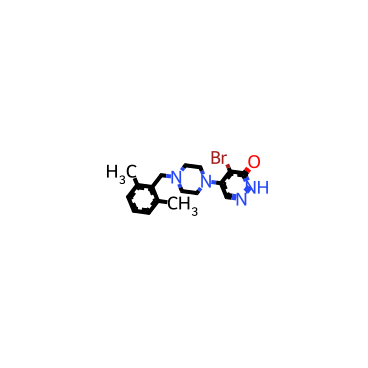 Cc1cccc(C)c1CN1CCN(c2cn[nH]c(=O)c2Br)CC1